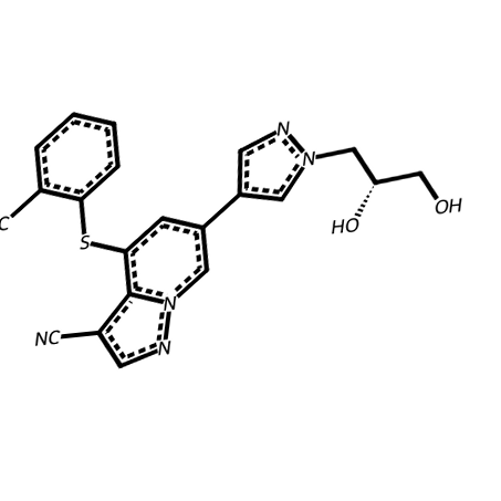 N#Cc1ccccc1Sc1cc(-c2cnn(C[C@@H](O)CO)c2)cn2ncc(C#N)c12